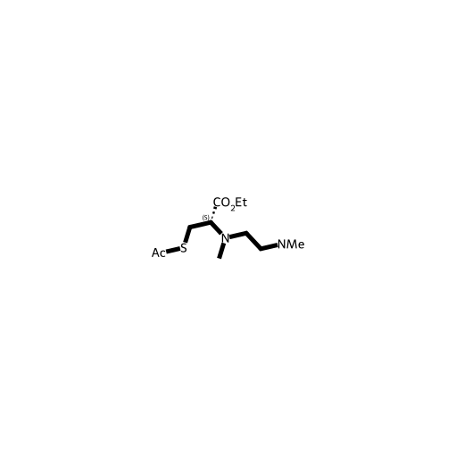 CCOC(=O)[C@@H](CSC(C)=O)N(C)CCNC